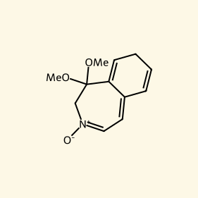 COC1(OC)C[N+]([O-])=CC=C2C=CCC=C21